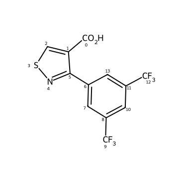 O=C(O)c1csnc1-c1cc(C(F)(F)F)cc(C(F)(F)F)c1